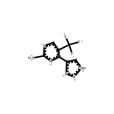 Nc1ncc(C(F)(F)F)c(-c2c[nH]nn2)n1